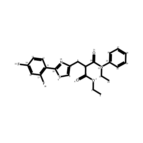 CCOC(=O)C(Cc1csc(-c2ccc(F)cc2F)n1)C(=O)N(CC)c1ccccc1